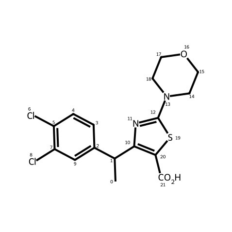 CC(c1ccc(Cl)c(Cl)c1)c1nc(N2CCOCC2)sc1C(=O)O